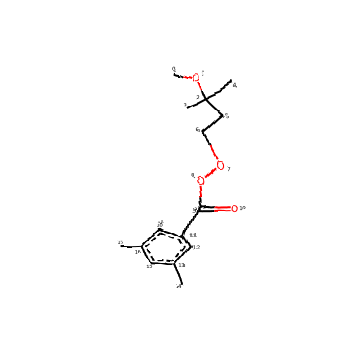 COC(C)(C)C[CH]OOC(=O)c1cc(C)cc(C)c1